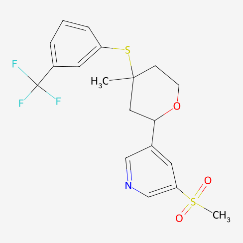 CC1(Sc2cccc(C(F)(F)F)c2)CCOC(c2cncc(S(C)(=O)=O)c2)C1